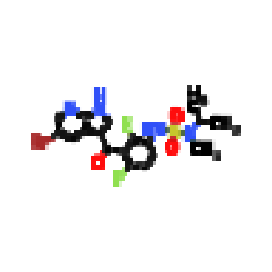 CC(C)N(C)S(=O)(=O)Nc1ccc(F)c(C(=O)c2c[nH]c3ncc(Br)cc23)c1F